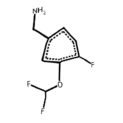 NCc1ccc(F)c(OC(F)F)c1